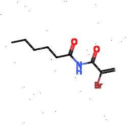 C=C(Br)C(=O)NC(=O)CCCCC